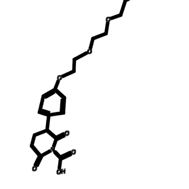 O=C(O)N1C(=O)CCC(c2ccc(OCCOCCOCCO)cc2)C1=O